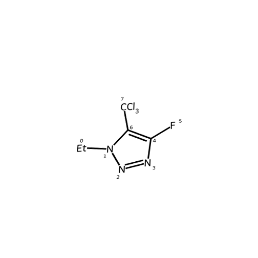 CCn1nnc(F)c1C(Cl)(Cl)Cl